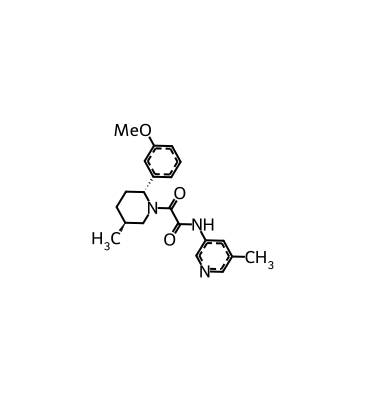 COc1cccc([C@H]2CC[C@H](C)CN2C(=O)C(=O)Nc2cncc(C)c2)c1